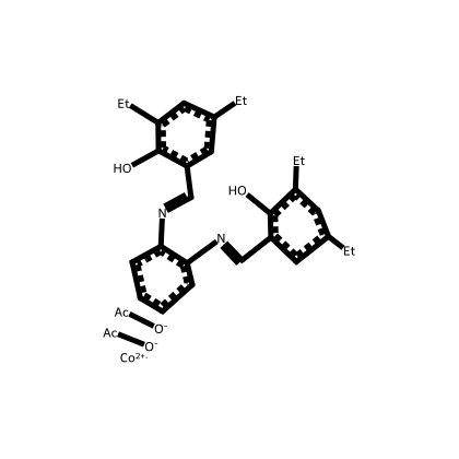 CC(=O)[O-].CC(=O)[O-].CCc1cc(C=Nc2ccccc2N=Cc2cc(CC)cc(CC)c2O)c(O)c(CC)c1.[Co+2]